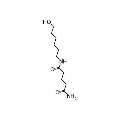 NC(=O)CCCC(=O)NCCCCCCO